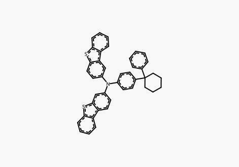 c1ccc(C2(c3ccc(N(c4ccc5c(c4)sc4ccccc45)c4ccc5sc6ccccc6c5c4)cc3)CCCCC2)cc1